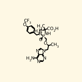 CC(Cn1cnc2c(N)ncnc21)OCP(=O)(NCc1ccc(OC(F)(F)F)cc1)NC(C)(C)C(=O)O